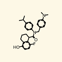 CC(C)c1ccc(N(Cc2ccc(N(C)C)cc2)C(=O)C2CCCc3c(O)ccc(F)c32)cc1